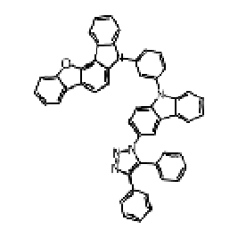 c1ccc(-c2nnn(-c3ccc4c(c3)c3ccccc3n4-c3cccc(-n4c5ccccc5c5c6oc7ccccc7c6ccc54)c3)c2-c2ccccc2)cc1